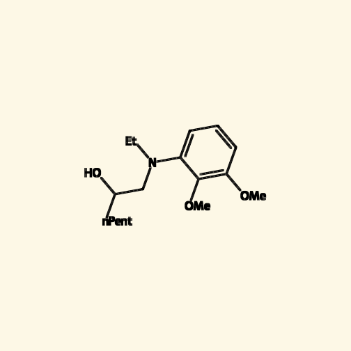 CCCCCC(O)CN(CC)c1cccc(OC)c1OC